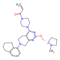 C=CC(=O)N1CCN(c2nc(OC[C@@H]3CCCN3C)nc3c2CCN(c2cccc4c2CCCC4)C3)CC1